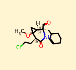 CO[C@@]12C[C@H]1[C@](C=O)(CC1C=CCCC1)NC(=O)[C@H]2CCCl